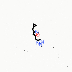 Cn1ncc(Cc2cc(CC3CC3)no2)n1